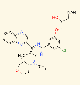 CNCC(O)COc1cc(Cl)cc(-c2nc(-c3cnc4ccccc4n3)c(C)c(N(C)C3CCOCC3)n2)c1